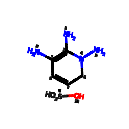 NC1=C(N)N(N)CC=C1.O=S(=O)(O)O